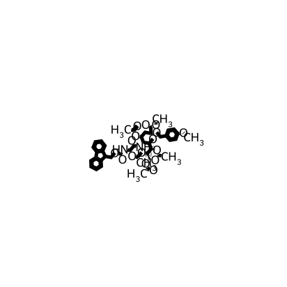 COC(=O)C1(OCc2ccc(OC)cc2)CC(OC(C)=O)C(NC(=O)CNC(=O)OCC2c3ccccc3-c3ccccc32)C([C@H](OC(C)=O)[C@@H](COC(C)=O)OC(C)=O)O1